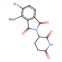 COc1c(Br)ccc2c1C(=O)N(C1CCC(=O)NC1=O)C2=O